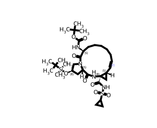 CC(C)(C)OC(=O)N[C@H]1CCCCC/C=C\[C@@H]2C[C@@]2(C(=O)NS(=O)(=O)C2CC2)NC(=O)[C@@H]2C[C@@H](O[Si](C)(C)C(C)(C)C)CN2C1=O